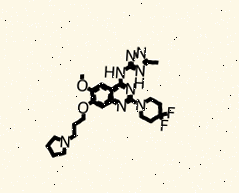 COc1cc2c(Nc3nnc(C)[nH]3)nc(N3CCC(F)(F)CC3)nc2cc1OCCCN1CCCC1